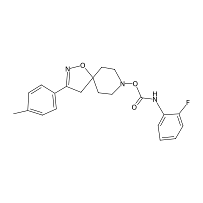 Cc1ccc(C2=NOC3(CCN(OC(=O)Nc4ccccc4F)CC3)C2)cc1